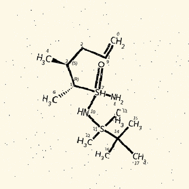 C=CC[C@H](C)[C@@H](C)[SH](N)(=O)NS(C)(C)C(C)(C)C